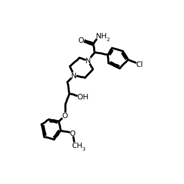 COc1ccccc1OCC(O)CN1CCN(C(C(N)=O)c2ccc(Cl)cc2)CC1